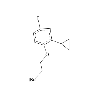 CC(C)(C)CCOc1ccc(F)cc1C1CC1